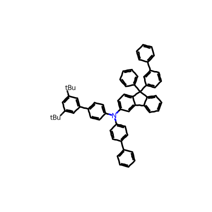 CC(C)(C)c1cc(-c2ccc(N(c3ccc(-c4ccccc4)cc3)c3ccc4c(c3)-c3ccccc3C4(c3ccccc3)c3cccc(-c4ccccc4)c3)cc2)cc(C(C)(C)C)c1